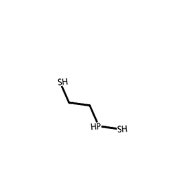 SCCPS